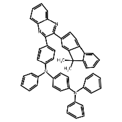 CC1(C)c2ccccc2-c2ccc(-c3nc4ccccc4nc3-c3ccc(N(c4ccccc4)c4ccc(N(c5ccccc5)c5ccccc5)cc4)cc3)cc21